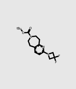 CC(C)(C)OC(=O)N1CCc2ccc(N3CC(F)(F)C3)nc2CC1